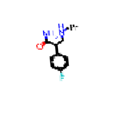 CC(C)NCC(C(N)=O)c1ccc(F)cc1